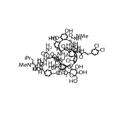 CNNC(=O)[C@@H]1NC(=O)[C@H]2NC(=O)[C@H](NC(=O)[C@@H]3NC(=O)[C@H](CC(N)=O)NC(=O)[C@H](NC(=O)[C@@H](CC(C)C)NC)[C@H](O)c4ccc(c(Cl)c4)Oc4cc3cc(c4O[C@@H]3O[C@H](CO)[C@@H](O)[C@H](O)[C@H]3O[C@H]3C[C@](C)(NCCn4ccc(NC(=O)/C=C/c5ccc(Cl)c(Cl)c5)nc4=O)[C@H](O)[C@H](C)O3)Oc3ccc(cc3Cl)[C@H]2O)c2ccc(O)c(c2)-c2c(O)cc(O)cc21